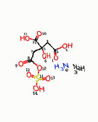 N.O=C(O)CC(O)(CC(=O)OS(=O)(=O)O)C(=O)O.[NaH]